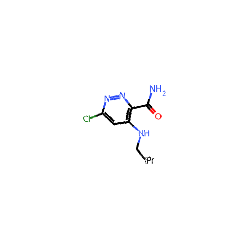 CC(C)CNc1cc(Cl)nnc1C(N)=O